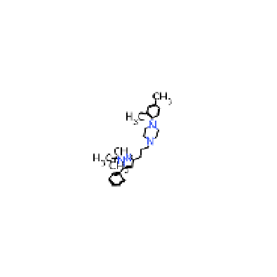 Cc1ccc(N2CCN(CCCc3cc(-c4ccccc4)n(C(C)(C)C)n3)CC2)c(C)c1